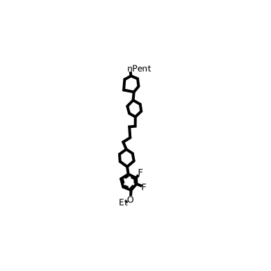 CCCCCC1CCC(C2CCC(CCCCC3CCC(c4ccc(OCC)c(F)c4F)CC3)CC2)CC1